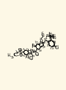 CCS(=O)(=O)c1ccc([C@H](CO)NC(=O)c2cc3cc(Cc4ccc(Cl)cc4C(F)(F)F)n(CCF)c3cc2F)cc1